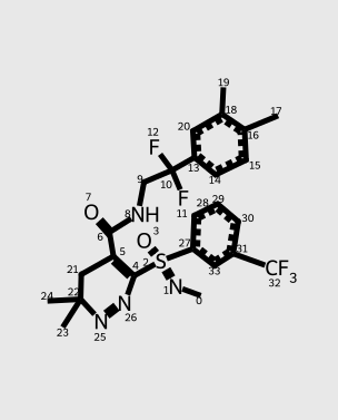 CN=S(=O)(C1=C(C(=O)NCC(F)(F)c2ccc(C)c(C)c2)CC(C)(C)N=N1)c1cccc(C(F)(F)F)c1